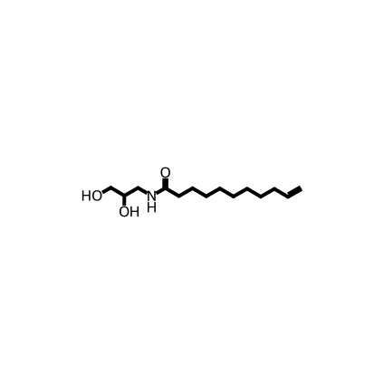 C=CCCCCCCCCC(=O)NCC(O)CO